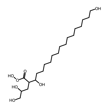 O=C(OO)C(CC(O)CO)C(O)CCCCCCCCCCCCCCCO